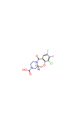 O=C(O)N1CCN2C(=O)c3cc(F)c(I)c(Cl)c3OC[C@@H]2C1